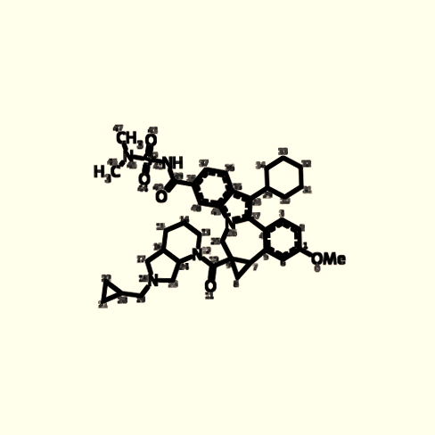 COc1ccc2c(c1)C1CC1(C(=O)N1CCCC3CN(CC4CC4)CC31)Cn1c-2c(C2CCCCC2)c2ccc(C(=O)NS(=O)(=O)N(C)C)cc21